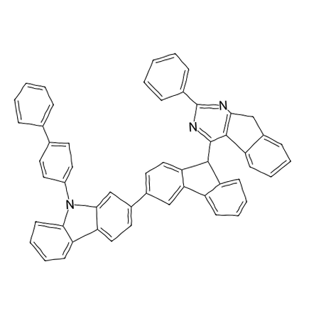 c1ccc(-c2ccc(-n3c4ccccc4c4ccc(-c5ccc6c(c5)-c5ccccc5C6c5nc(-c6ccccc6)nc6c5-c5ccccc5C6)cc43)cc2)cc1